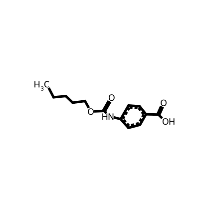 CCCCCOC(=O)Nc1ccc(C(=O)O)cc1